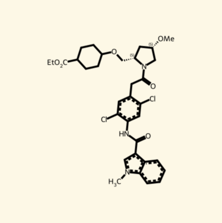 CCOC(=O)C1CCC(OC[C@@H]2C[C@H](OC)CN2C(=O)Cc2cc(Cl)c(NC(=O)c3cn(C)c4ccccc34)cc2Cl)CC1